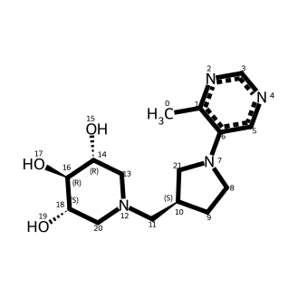 Cc1ncncc1N1CC[C@@H](CN2C[C@@H](O)[C@H](O)[C@@H](O)C2)C1